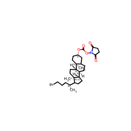 CC(C)CCC[C@@H](C)C1CC[C@H]2[C@@H]3CCC4C[C@@H](OC(=O)ON5C(=O)CCC5=O)CC[C@]4(C)[C@H]3CC[C@]12C